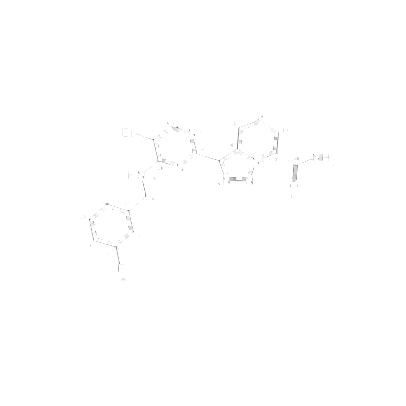 CCc1nnc(-c2nnn3c(C(N)=O)cccc23)nc1NCc1cccc(F)c1